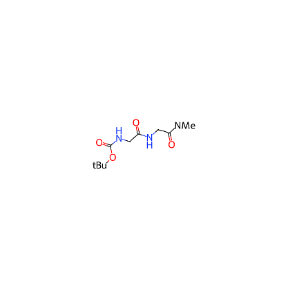 CNC(=O)CNC(=O)CNC(=O)OC(C)(C)C